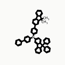 CC1(C)c2ccccc2-c2ccc(-c3ccc(N(c4ccc(-c5ccccc5)cc4)c4ccc5c(c4)-c4ccccc4C5(c4ccccc4)c4ccccc4)cc3)cc21